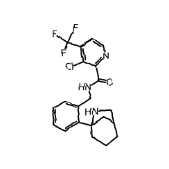 O=C(NCc1ccccc1C12CCCC(CN1)C2)c1nccc(C(F)(F)F)c1Cl